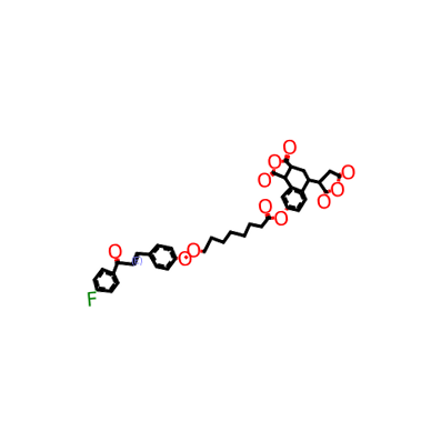 O=C1CC(C2CC3C(=O)OC(=O)C3c3cc(OC(=O)CCCCCCCOOc4ccc(/C=C/C(=O)c5ccc(F)cc5)cc4)ccc32)C(=O)O1